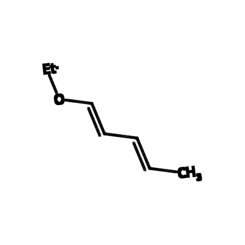 C[CH]O/C=C/C=C/C